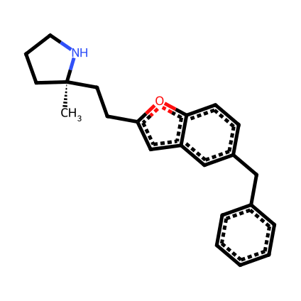 C[C@]1(CCc2cc3cc(Cc4ccccc4)ccc3o2)CCCN1